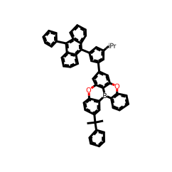 CC(C)c1cc(-c2cc3c4c(c2)Oc2ccc(C(C)(C)c5ccccc5)cc2B4c2ccccc2O3)cc(-c2c3ccccc3c(-c3ccccc3)c3ccccc23)c1